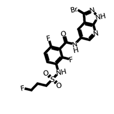 O=C(Nc1cnc2[nH]nc(Br)c2c1)c1c(F)ccc(NS(=O)(=O)CCCF)c1F